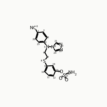 N#Cc1ccc(N(CCSc2cccc(OS(N)(=O)=O)c2)n2cnnc2)cc1